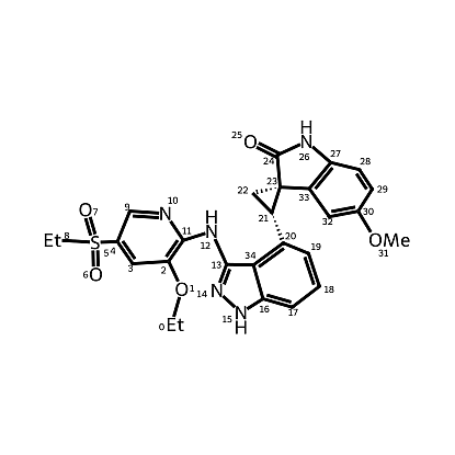 CCOc1cc(S(=O)(=O)CC)cnc1Nc1n[nH]c2cccc([C@@H]3C[C@@]34C(=O)Nc3ccc(OC)cc34)c12